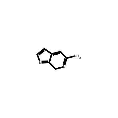 NC1=NCC2=NC=CC2=C1